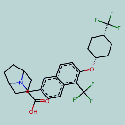 O=C(O)C1CC2CCC(C1)N2Cc1ccc2c(C(F)(F)F)c(O[C@H]3CC[C@@H](C(F)(F)F)CC3)ccc2c1